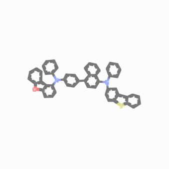 c1ccc(N(c2ccc3sc4ccccc4c3c2)c2ccc(-c3ccc(N(c4ccccc4)c4cccc5oc6ccccc6c45)cc3)c3ccccc23)cc1